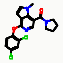 Cn1ccc2c(Oc3ccc(Cl)cc3Cl)ncc(C(=O)N3CCCC3)c21